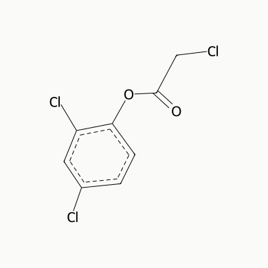 O=C(CCl)Oc1ccc(Cl)cc1Cl